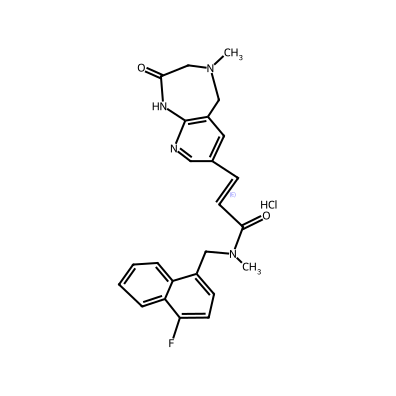 CN1CC(=O)Nc2ncc(/C=C/C(=O)N(C)Cc3ccc(F)c4ccccc34)cc2C1.Cl